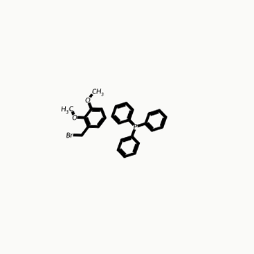 COc1cccc(CBr)c1OC.c1ccc(P(c2ccccc2)c2ccccc2)cc1